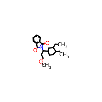 CCC1CCC(C(CCOC)N2C(=O)c3ccccc3C2=O)CC1CC